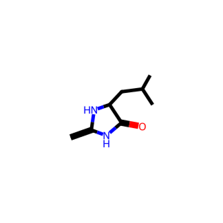 C=C1NC(=O)C(CC(C)C)N1